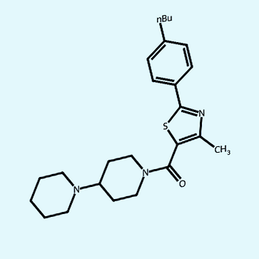 CCCCc1ccc(-c2nc(C)c(C(=O)N3CCC(N4CCCCC4)CC3)s2)cc1